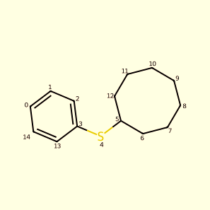 c1ccc(SC2CCCCCCC2)cc1